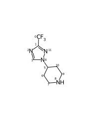 FC(F)(F)c1ncn(C2CCNCC2)n1